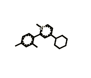 Cc1ccc(-c2cc(C3CCCCC3)cc[n+]2C)c(C)c1